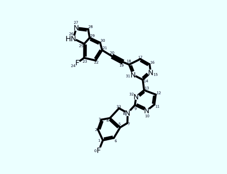 Fc1ccc2c(c1)CN(c1nccc(-c3nccc(C#Cc4cc(F)c5[nH]ncc5c4)n3)n1)C2